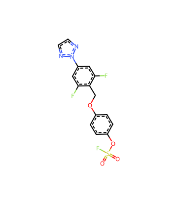 O=S(=O)(F)Oc1ccc(OCc2c(F)cc(-n3nccn3)cc2F)cc1